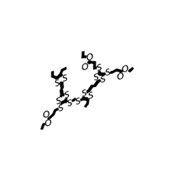 CCOC(=O)CCSC1=C(SCCC(=O)OCC)SC(=CC=C2SC(CC)=C(SCSC3=C(SCCC(=O)OCC)SC(=CC=C4SC(CC)=C(CC)S4)S3)S2)S1